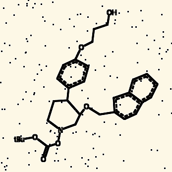 CC(C)(C)OC(=O)ON1CCC(c2ccc(OCCCO)cc2)C(OCc2ccc3ccccc3c2)C1